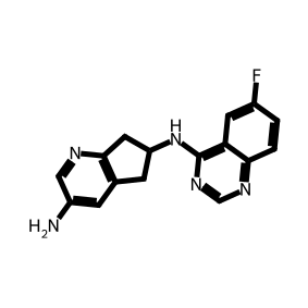 Nc1cnc2c(c1)CC(Nc1ncnc3ccc(F)cc13)C2